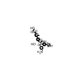 Cc1nc(C(=O)N[C@H](C)CO)ccc1-c1ccc(C[C@@H](C(N)=O)N(c2ccc(-c3nn[nH]n3)cc2)C(=O)[C@H]2CC[C@H](CN)CC2)cc1.Cl